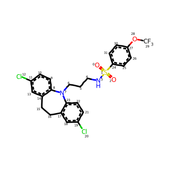 O=S(=O)(NCCCN1c2ccc(Cl)cc2CCc2cc(Cl)ccc21)c1ccc(OC(F)(F)F)cc1